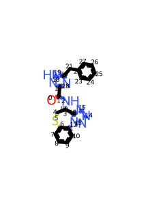 O=C(N[C@H]1CSc2ccccc2-n2nnnc21)c1n[nH]c(Cc2ccccc2)n1